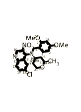 COc1ccc(CN(c2c([N+](=O)[O-])cnc3ccc(Cl)cc23)[C@@H]2CCO[C@H](C)C2)c(OC)c1